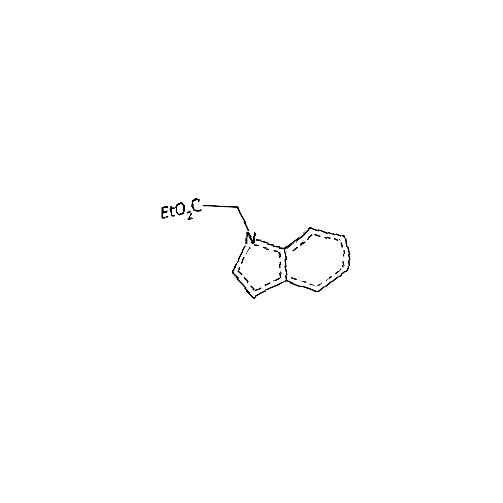 CCOC(=O)Cn1ccc2ccccc21